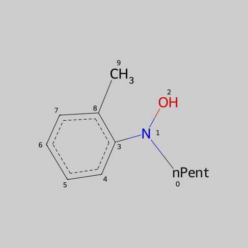 CCCCCN(O)c1ccccc1C